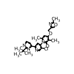 Cc1nc(COc2cc(C)n(-c3cc(-c4ccnc(C(C)(C)C)n4)ncc3Cl)c(=O)c2C)co1